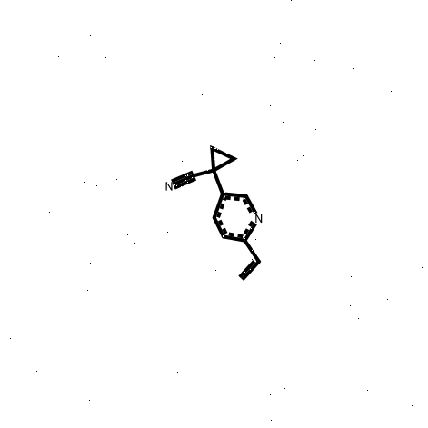 C=Cc1ccc(C2(C#N)CC2)cn1